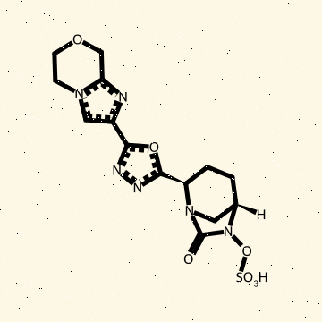 O=C1N2C[C@H](CC[C@@H]2c2nnc(-c3cn4c(n3)COCC4)o2)N1OS(=O)(=O)O